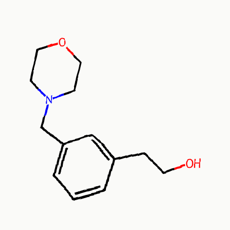 OCCc1cccc(CN2CCOCC2)c1